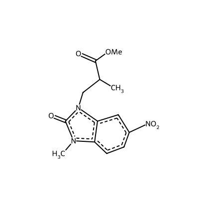 COC(=O)C(C)Cn1c(=O)n(C)c2ccc([N+](=O)[O-])cc21